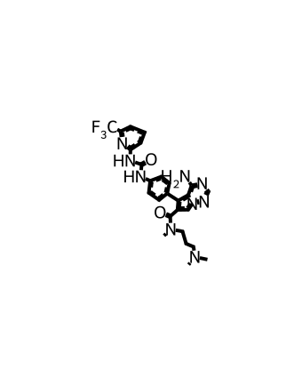 CN(C)CCCN(C)C(=O)c1cn2ncnc(N)c2c1-c1ccc(NC(=O)Nc2cccc(C(F)(F)F)n2)cc1